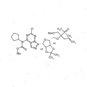 C=CCC(COC)(OC[C@H]1O[C@@H](n2ncc3c(N(C(=O)OC(C)(C)C)C4CCCC4)nc(Cl)nc32)[C@@H]2OC(C)(C)O[C@@H]21)P(C)(C)=O